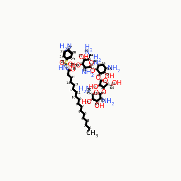 CCCCCCCCCCCCCCCCCC(=O)NS(=O)(=O)c1ccc(N)cc1.NC[C@@H]1O[C@H](O[C@H]2[C@@H](O)[C@H](O[C@@H]3[C@@H](O)[C@H](N)C[C@H](N)[C@H]3O[C@H]3O[C@H](CN)[C@@H](O)[C@H](O)[C@H]3N)O[C@@H]2CO)[C@H](N)[C@@H](O)[C@@H]1O